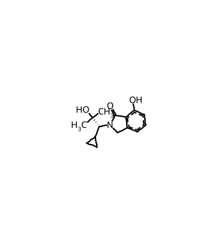 CC(C)(O)[C@@H](C1CC1)N1Cc2cccc(O)c2C1=O